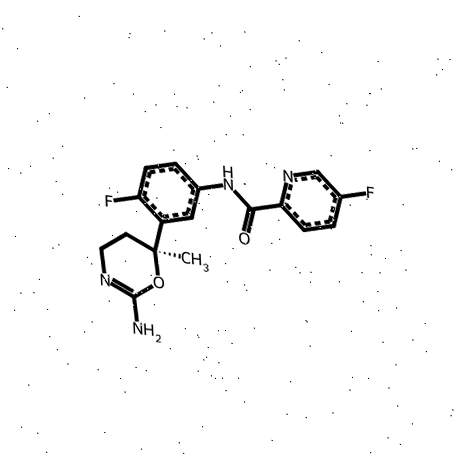 C[C@@]1(c2cc(NC(=O)c3ccc(F)cn3)ccc2F)CCN=C(N)O1